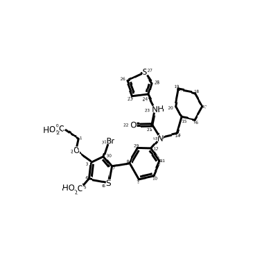 O=C(O)COc1c(C(=O)O)sc(-c2cccc(N(CC3CCCCC3)C(=O)Nc3ccsc3)c2)c1Br